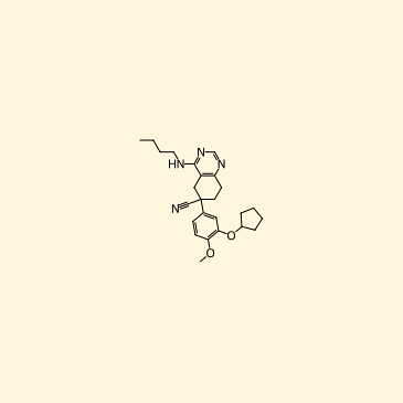 CCCCNc1ncnc2c1CC(C#N)(c1ccc(OC)c(OC3CCCC3)c1)CC2